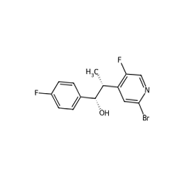 C[C@H](c1cc(Br)ncc1F)[C@H](O)c1ccc(F)cc1